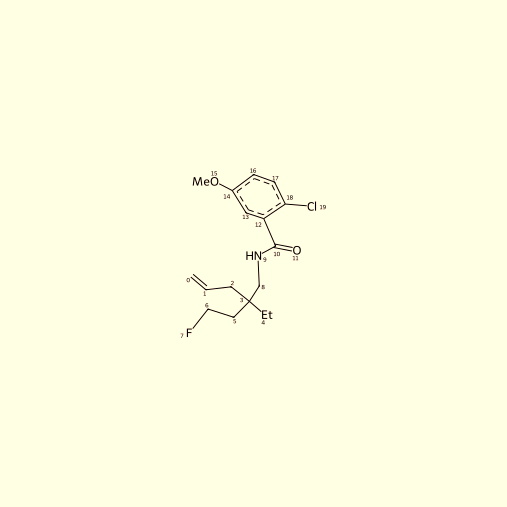 C=CCC(CC)(CCF)CNC(=O)c1cc(OC)ccc1Cl